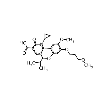 COCCCOc1cc2c(cc1OC)-c1c(cc(C(=O)O)c(=O)n1C1CC1)C(C(C)C)O2